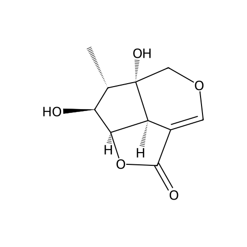 C[C@H]1[C@H](O)[C@@H]2OC(=O)C3=COC[C@@]1(O)[C@@H]32